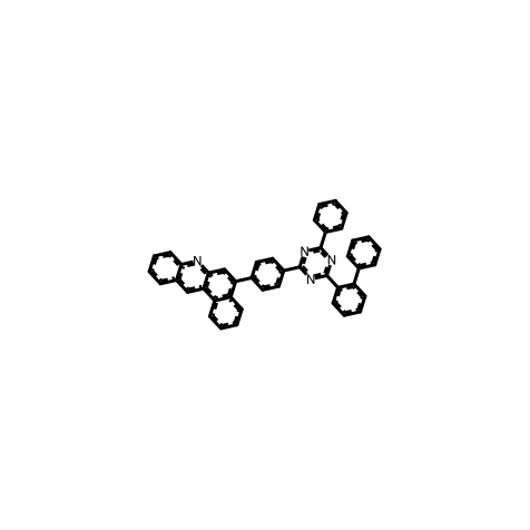 c1ccc(-c2nc(-c3ccc(-c4cc5nc6ccccc6cc5c5ccccc45)cc3)nc(-c3ccccc3-c3ccccc3)n2)cc1